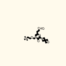 C[Si](C)(C)CCOCn1cc(CCC=O)nc(N2CC3(COC3)C2)c1=O